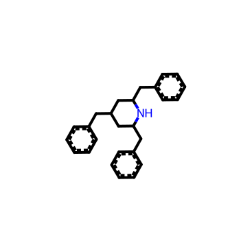 c1ccc(CC2CC(Cc3ccccc3)NC(Cc3ccccc3)C2)cc1